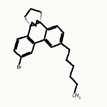 CCCCCCc1ccc2c(c1)-c1cc(Br)ccc1[C@]13CCC[C@]21CCC3